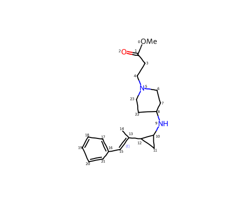 COC(=O)CCN1CCC(NC2CC2/C(C)=C/c2ccccc2)CC1